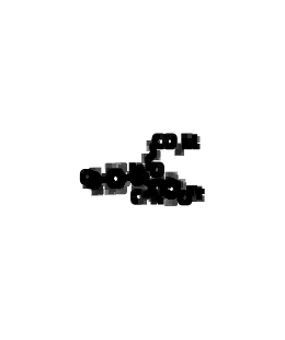 CCOC(=O)CCCC(=O)N1N=C(c2ccc(-c3ccoc3)cc2)CC1c1cc2ccc(OCC)cc2nc1Cl